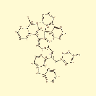 Cc1ccc(C/C(=C/c2ccc3c(c2)C(c2ccccc2)(c2ccccc2)c2cc(C)c4ccccc4c2-3)c2cccc3sc4ccccc4c23)cc1